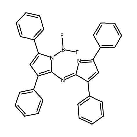 FB(F)n1c(-c2ccccc2)cc(-c2ccccc2)c1/N=C1\N=C(c2ccccc2)C=C1c1ccccc1